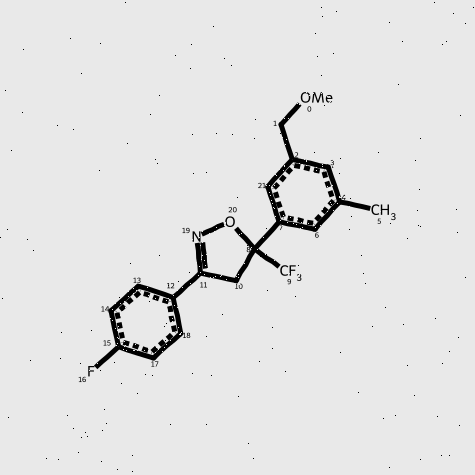 COCc1[c]c(C)cc(C2(C(F)(F)F)CC(c3ccc(F)cc3)=NO2)c1